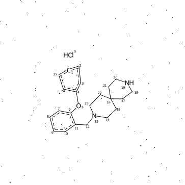 Cl.c1ccc(Oc2ccccc2CN2CCC3(CCNCC3)CC2)cc1